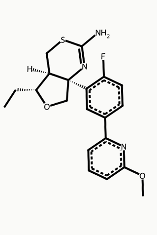 CC[C@H]1OC[C@]2(c3cc(-c4cccc(OC)n4)ccc3F)N=C(N)SC[C@H]12